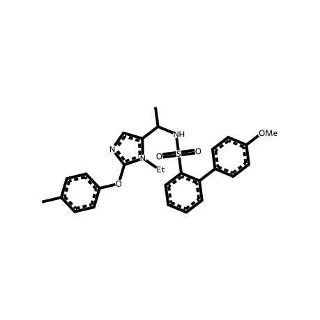 CCn1c(C(C)NS(=O)(=O)c2ccccc2-c2ccc(OC)cc2)cnc1Oc1ccc(C)cc1